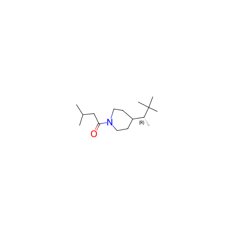 CC(C)CC(=O)N1CCC([C@@H](C)C(C)(C)C)CC1